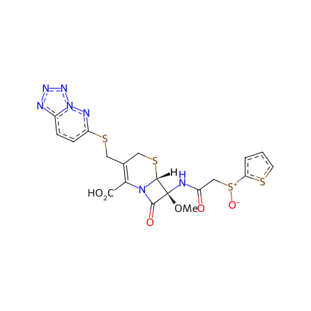 CO[C@@]1(NC(=O)C[S+]([O-])c2cccs2)C(=O)N2C(C(=O)O)=C(CSc3ccc4nnnn4n3)CS[C@@H]21